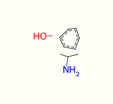 CC(C)N.CO.c1ccccc1